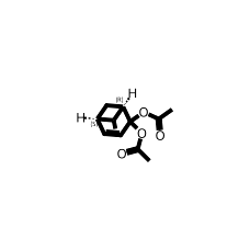 CC(=O)OC1(OC(C)=O)C=C[C@H]2C[C@@H]1C2C